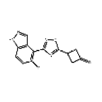 O=C1CC(c2nc(-c3c(F)ccc4[nH]ncc34)no2)C1